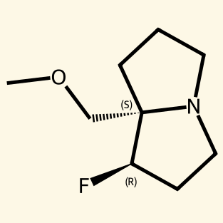 COC[C@]12CCCN1CC[C@H]2F